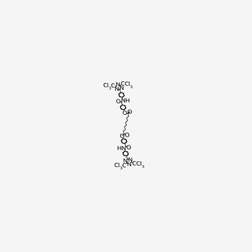 O=C(CCCCCCCCC(=O)Oc1ccc(C(=O)Nc2ccc(-c3nc(C(Cl)(Cl)Cl)nc(C(Cl)(Cl)Cl)n3)cc2)cc1)Oc1ccc(C(=O)Nc2ccc(-c3nc(C(Cl)(Cl)Cl)nc(C(Cl)(Cl)Cl)n3)cc2)cc1